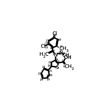 C=C(O)C1=C(N(C(=C)c2ccc(Cl)cc2Cl)N(C)C)CC(c2ccccc2)S1